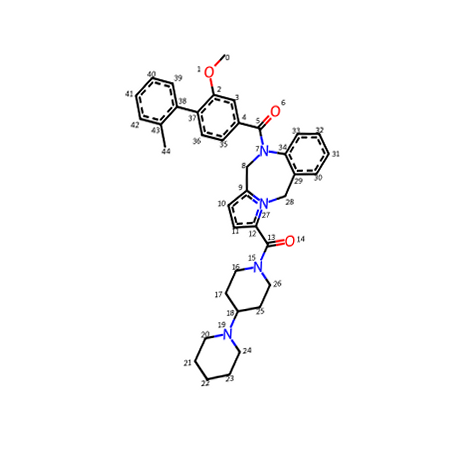 COc1cc(C(=O)N2Cc3ccc(C(=O)N4CCC(N5CCCCC5)CC4)n3Cc3ccccc32)ccc1-c1ccccc1C